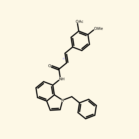 COc1ccc(/C=C/C(=O)Nc2cccc3ccn(Cc4ccccc4)c23)cc1OC(C)=O